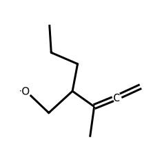 C=C=C(C)C(C[O])CCC